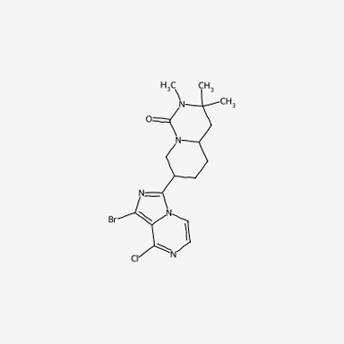 CN1C(=O)N2CC(c3nc(Br)c4c(Cl)nccn34)CCC2CC1(C)C